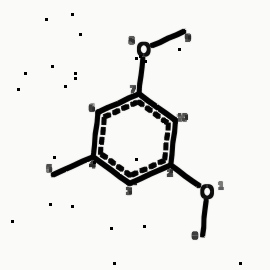 COc1[c]c(C)cc(OC)c1